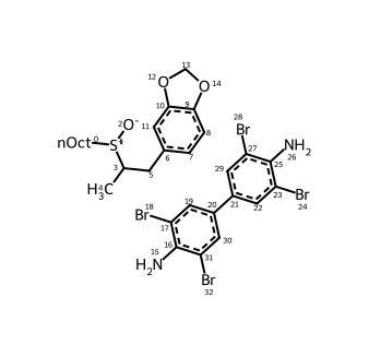 CCCCCCCC[S+]([O-])C(C)Cc1ccc2c(c1)OCO2.Nc1c(Br)cc(-c2cc(Br)c(N)c(Br)c2)cc1Br